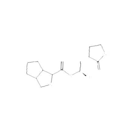 O=C[C@H](C[C@@H]1CCNC1=O)NC(=O)C1NCC2CCCC21